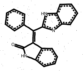 O=C1Nc2ccccc2/C1=C(/c1ccccc1)c1nc2ccccc2[nH]1